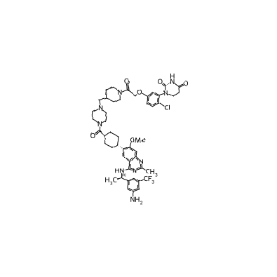 COc1cc2nc(C)nc(N[C@H](C)c3cc(N)cc(C(F)(F)F)c3)c2cc1[C@H]1CC[C@H](C(=O)N2CCN(CC3CCN(C(=O)COc4ccc(Cl)c(N5CCC(=O)NC5=O)c4)CC3)CC2)CC1